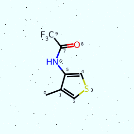 Cc1cscc1NC(=O)C(F)(F)F